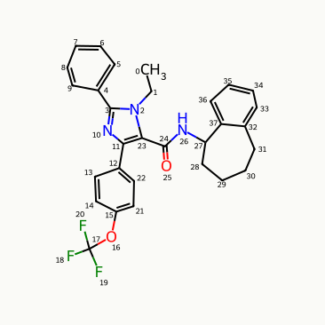 CCn1c(-c2ccccc2)nc(-c2ccc(OC(F)(F)F)cc2)c1C(=O)NC1CCCCc2ccccc21